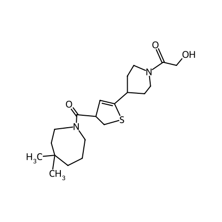 CC1(C)CCCN(C(=O)C2C=C(C3CCN(C(=O)CO)CC3)SC2)CC1